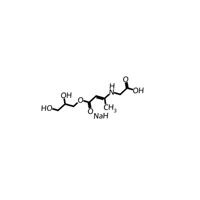 C/C(=C\C(=O)OCC(O)CO)NCC(=O)O.[NaH]